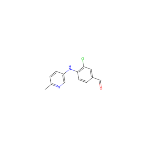 Cc1ccc(Nc2ccc([C]=O)cc2Cl)cn1